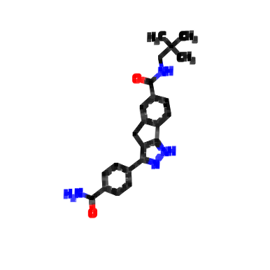 CC(C)(C)CNC(=O)c1ccc2c(c1)Cc1c(-c3ccc(C(N)=O)cc3)n[nH]c1-2